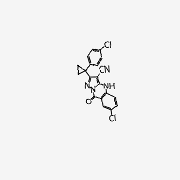 N#Cc1c(C2(c3ccc(Cl)cc3)CC2)nn2c(=O)c3cc(Cl)ccc3[nH]c12